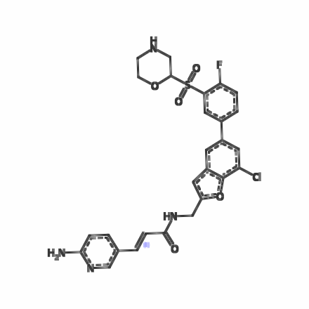 Nc1ccc(/C=C/C(=O)NCc2cc3cc(-c4ccc(F)c(S(=O)(=O)C5CNCCO5)c4)cc(Cl)c3o2)cn1